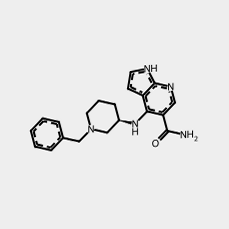 NC(=O)c1cnc2[nH]ccc2c1N[C@@H]1CCCN(Cc2ccccc2)C1